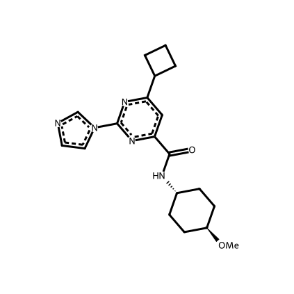 CO[C@H]1CC[C@H](NC(=O)c2cc(C3CCC3)nc(-n3ccnc3)n2)CC1